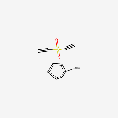 C#CS(=O)(=O)C#C.CC(C)(C)c1ccccc1